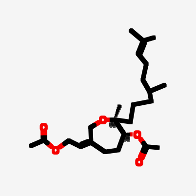 CC(=O)OCC=C1CC[C@@H](OC(C)=O)[C@](C)(CCCC(C)CCC=C(C)C)OC1